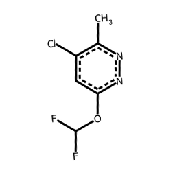 Cc1nnc(OC(F)F)cc1Cl